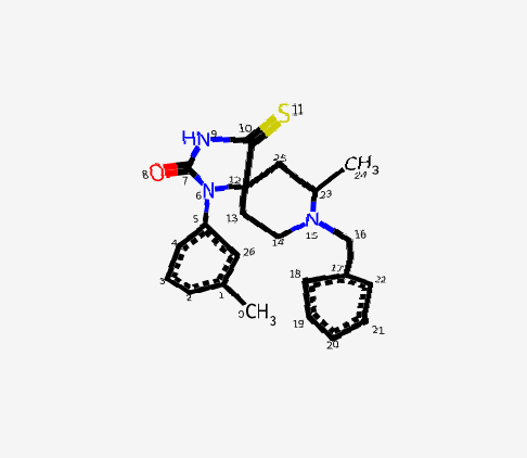 Cc1cccc(N2C(=O)NC(=S)C23CCN(Cc2ccccc2)C(C)C3)c1